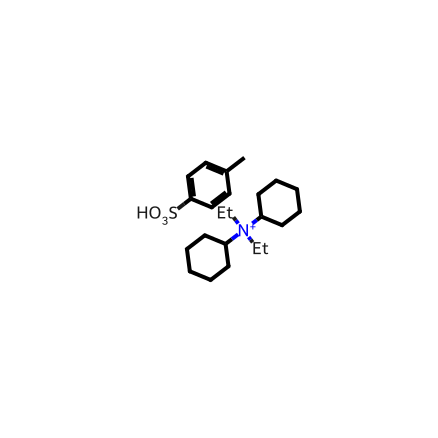 CC[N+](CC)(C1CCCCC1)C1CCCCC1.Cc1ccc(S(=O)(=O)O)cc1